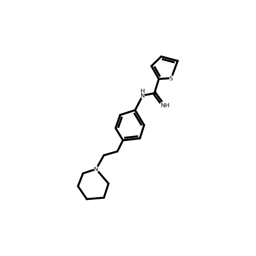 N=C(Nc1ccc(CCN2CCCCC2)cc1)c1cccs1